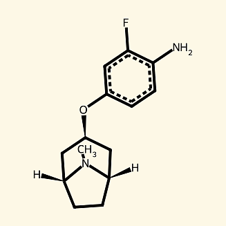 CN1[C@@H]2CC[C@H]1C[C@H](Oc1ccc(N)c(F)c1)C2